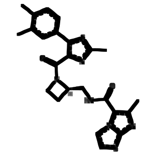 Cc1nc(C(=O)N2CC[C@@H]2CNC(=O)c2c(C)nc3sccn23)c(-c2ccc(C)c(C)c2)s1